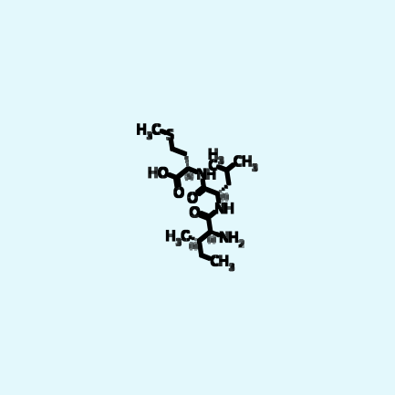 CC[C@H](C)[C@H](N)C(=O)N[C@@H](CC(C)C)C(=O)N[C@@H](CCSC)C(=O)O